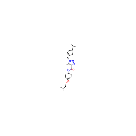 Cc1c(C(=O)Nc2ccc(OCCC(C)C)cc2)nnn1Cc1ccc(C(C)C)cc1